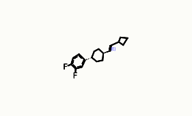 Fc1ccc([C@H]2CC[C@H](/C=C/C3CCC3)CC2)cc1F